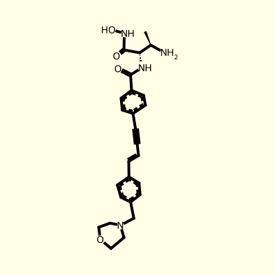 C[C@@H](N)[C@H](NC(=O)c1ccc(C#CC=Cc2ccc(CN3CCOCC3)cc2)cc1)C(=O)NO